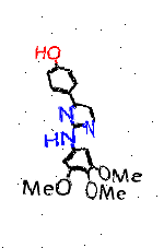 COc1cc(Nc2nccc(-c3ccc(O)cc3)n2)cc(OC)c1OC